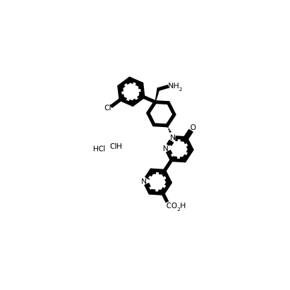 Cl.Cl.NC[C@]1(c2cccc(Cl)c2)CC[C@@H](n2nc(-c3cncc(C(=O)O)c3)ccc2=O)CC1